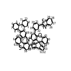 c1ccc(-c2ccccc2-c2ccc(N(c3cc(-c4cccc(-c5nc6ccccc6s5)c4)c4c(c3)C3(c5ccccc5O4)c4ccccc4-c4ccccc43)c3cccc4sc5ccccc5c34)cc2)cc1